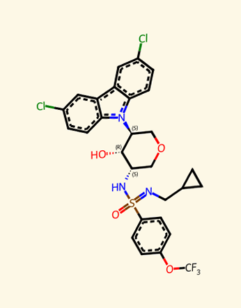 O=S(=NCC1CC1)(N[C@H]1COC[C@H](n2c3ccc(Cl)cc3c3cc(Cl)ccc32)[C@H]1O)c1ccc(OC(F)(F)F)cc1